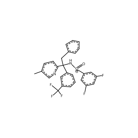 Cc1ccc(C(Cc2ccccc2)(NS(=O)(=O)c2cc(F)cc(F)c2)c2cccc(C(F)(F)F)c2)nc1